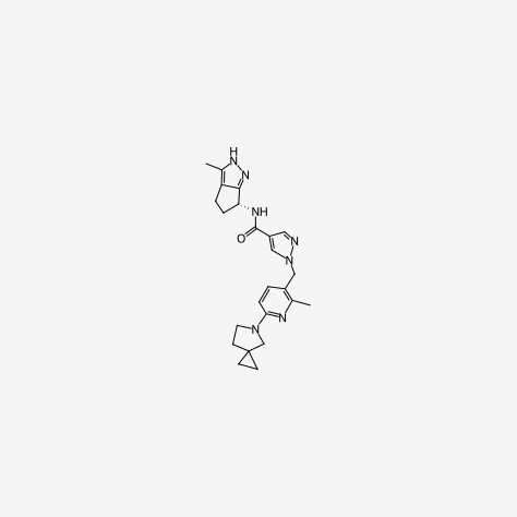 Cc1nc(N2CCC3(CC3)C2)ccc1Cn1cc(C(=O)N[C@@H]2CCc3c2n[nH]c3C)cn1